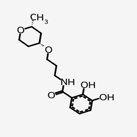 C[C@@H]1C[C@H](OCCCNC(=O)c2cccc(O)c2O)CCO1